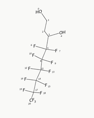 OCCC(O)C(F)(F)C(F)(F)C(F)(F)C(F)(F)C(F)(F)C(F)(F)F